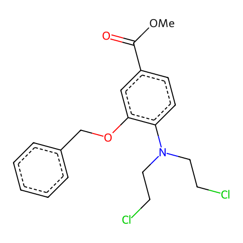 COC(=O)c1ccc(N(CCCl)CCCl)c(OCc2ccccc2)c1